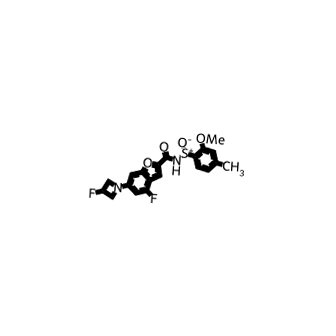 COc1cc(C)ccc1[S+]([O-])NC(=O)c1cc2c(F)cc(N3CC(F)C3)cc2o1